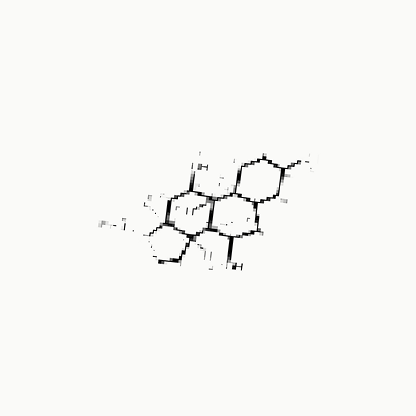 CCC[C@@H](C)[C@H]1CC[C@H]2[C@@H]3C(O)CC4CC(O)CC[C@]4(C)[C@H]3C(O)C[C@]12C